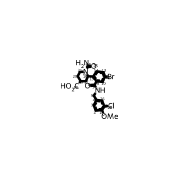 COc1ccc(CNC(=O)c2cc(Br)ccc2C2CC(C(=O)O)CCN2C(N)=O)cc1Cl